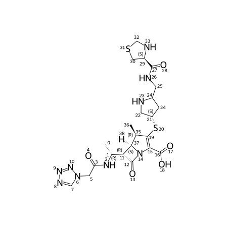 C[C@@H](NC(=O)Cn1cnnn1)[C@H]1C(=O)N2C(C(=O)O)=C(S[C@@H]3CNC(CNC(=O)[C@H]4CSCN4)C3)[C@H](C)[C@H]12